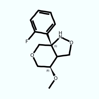 CO[C@H]1COC[C@]2(c3ccccc3F)NOCC12